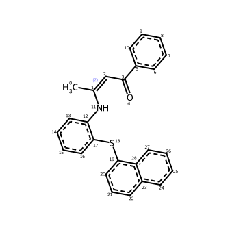 C/C(=C/C(=O)c1ccccc1)Nc1ccccc1Sc1cccc2ccccc12